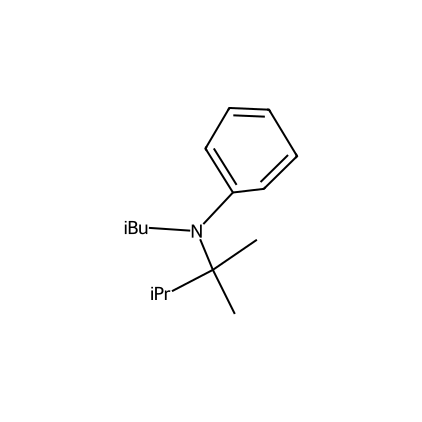 CCC(C)N(c1ccccc1)C(C)(C)C(C)C